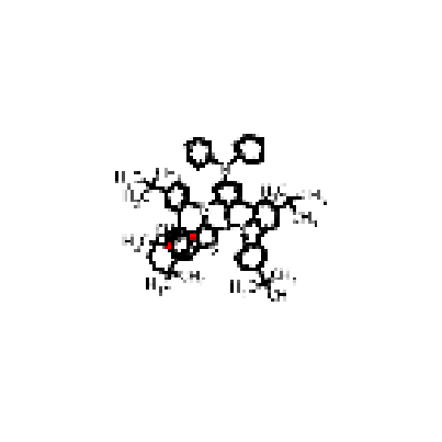 CC(C)(C)c1ccc(N2c3cc(N(c4ccccc4)c4ccccc4)cc4c3B(c3sc5cc6c(cc5c32)C(C)(C)CCC6(C)C)n2c3ccc(C(C)(C)C)cc3c3cc(C(C)(C)C)cc-4c32)c(-c2ccccc2)c1